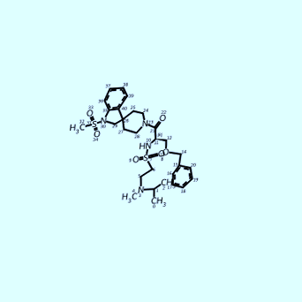 CC(C)N(C)CCS(=O)(=O)N[C@H](COCc1ccccc1)C(=O)N1CCC2(CC1)CN(S(C)(=O)=O)c1ccccc12